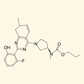 CCCOC(=O)N(C)[C@@H]1CCN(c2nc(-c3c(O)cccc3F)nc3c2C=CC(C)C3)C1